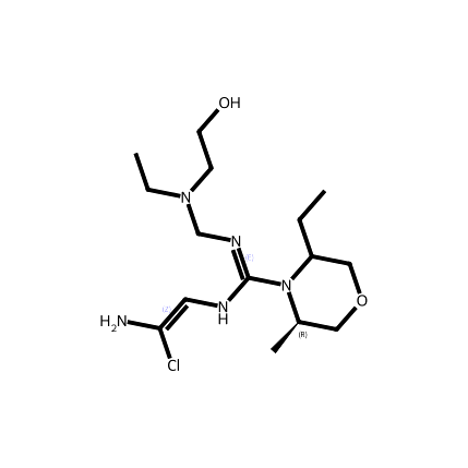 CCC1COC[C@@H](C)N1/C(=N/CN(CC)CCO)N/C=C(/N)Cl